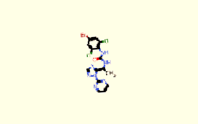 CC(NC(=O)Nc1c(Cl)cc(Br)cc1Cl)c1ncnn1-c1ncccn1